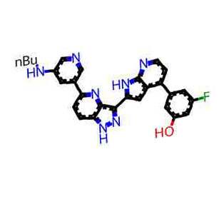 CCCCNc1cncc(-c2ccc3[nH]nc(-c4cc5c(-c6cc(O)cc(F)c6)ccnc5[nH]4)c3n2)c1